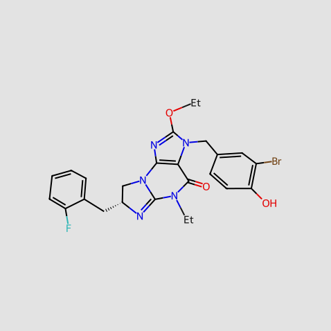 CCOc1nc2c(n1Cc1ccc(O)c(Br)c1)C(=O)N(CC)C1=N[C@H](Cc3ccccc3F)CN12